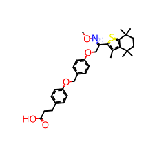 CO/N=C(\COc1ccc(COc2ccc(CCC(=O)O)cc2)cc1)c1sc2c(c1C)C(C)(C)CCC2(C)C